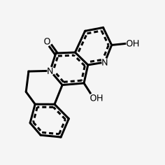 O=c1c2ccc(O)nc2c(O)c2n1CCc1ccccc1-2